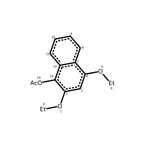 CCOc1cc(OCC)c2ccccc2c1OC(C)=O